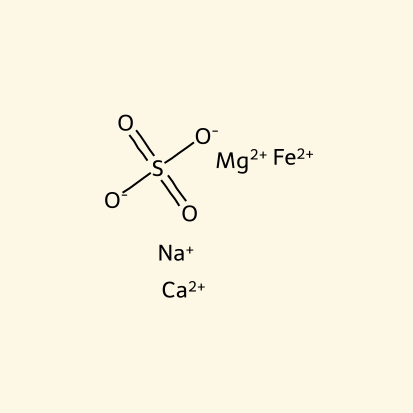 O=S(=O)([O-])[O-].[Ca+2].[Fe+2].[Mg+2].[Na+]